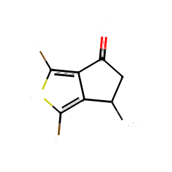 CC(=O)OC1CC(=O)c2c(Br)sc(Br)c21